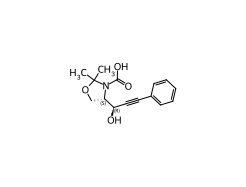 CC1(C)OC[C@@H]([C@H](O)C#Cc2ccccc2)N1C(=O)O